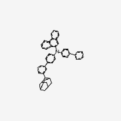 c1ccc(-c2ccc(N(c3ccc(-c4cccc(C5C6CC7CC(C6)CC5C7)c4)cc3)c3cc4ccccc4c4ccccc34)cc2)cc1